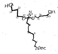 CCCCCCCCCCCCCCCCCC(N)(OCCCCO)OCCCCO